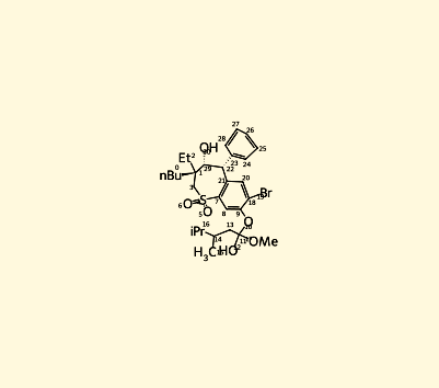 CCCC[C@]1(CC)CS(=O)(=O)c2cc(OC(O)(CC(C)C(C)C)OC)c(Br)cc2[C@@H](c2ccccc2)[C@H]1O